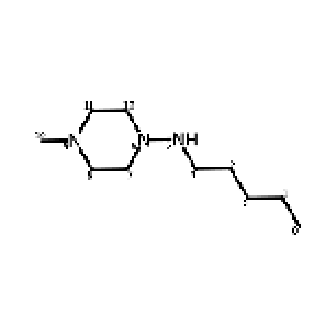 CCCCCNN1CCN(C)CC1